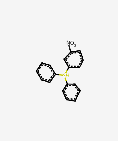 O=[N+]([O-])c1cccc([SH](c2ccccc2)c2ccccc2)c1